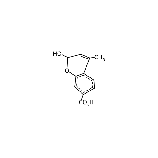 CC1=CC(O)Oc2cc(C(=O)O)ccc21